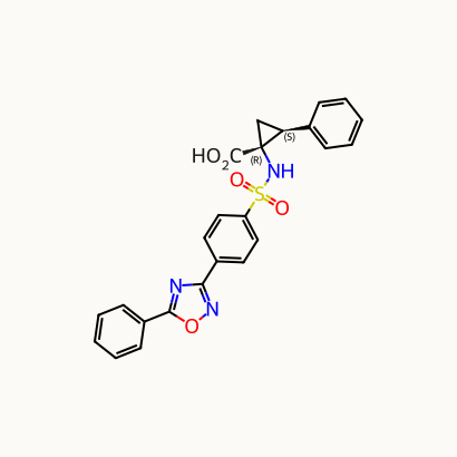 O=C(O)[C@@]1(NS(=O)(=O)c2ccc(-c3noc(-c4ccccc4)n3)cc2)C[C@H]1c1ccccc1